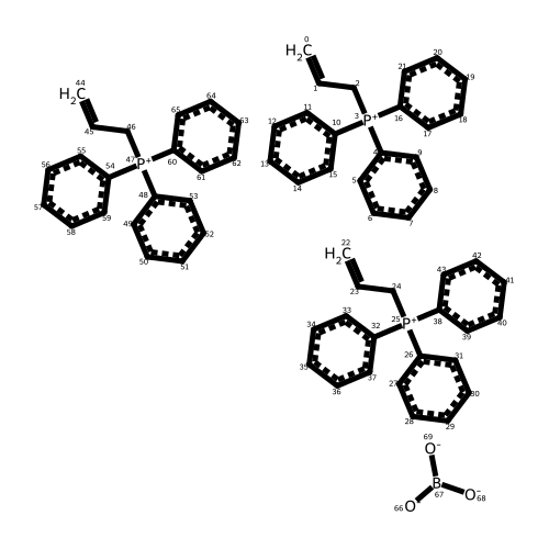 C=CC[P+](c1ccccc1)(c1ccccc1)c1ccccc1.C=CC[P+](c1ccccc1)(c1ccccc1)c1ccccc1.C=CC[P+](c1ccccc1)(c1ccccc1)c1ccccc1.[O-]B([O-])[O-]